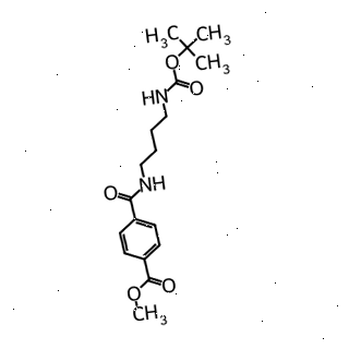 COC(=O)c1ccc(C(=O)NCCCCNC(=O)OC(C)(C)C)cc1